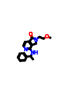 COCCN1Cc2c(ccnc2NC(C)c2ccccc2)C1=O